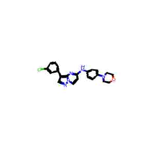 Clc1cccc(-c2cnn3ccc(Nc4ccc(N5CCOCC5)cc4)nc23)c1